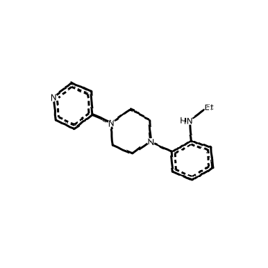 CCNc1ccccc1N1CCN(c2ccncc2)CC1